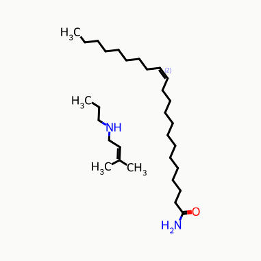 CCCCCCCC/C=C\CCCCCCCCCCCC(N)=O.CCCNCC=C(C)C